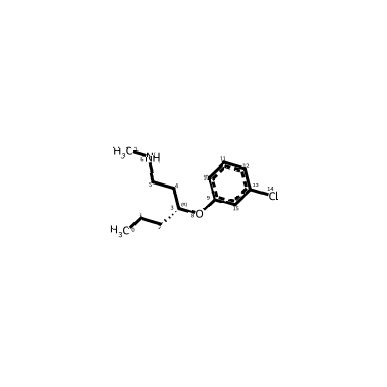 CCC[C@H](CCNC)Oc1cccc(Cl)c1